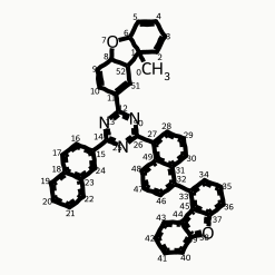 CC12C=CC=CC1OC1C=CC(c3nc(-c4ccc5ccccc5c4)nc(-c4cccc5c(-c6cccc7oc8ccccc8c67)cccc45)n3)=CC12